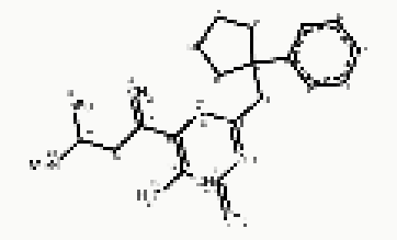 C=C/N=C(/CC1(c2ccccc2)CCCC1)NC(C(=C)CC(CCCC)NC)=C(C)C